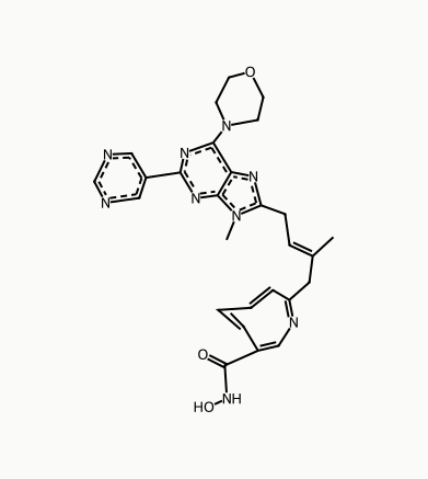 C/C(=C\Cc1nc2c(N3CCOCC3)nc(-c3cncnc3)nc2n1C)CC1=N/C=C(C(=O)NO)\C=C\C=C\1